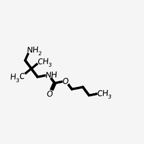 CCCCOC(=O)NCC(C)(C)CN